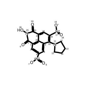 O=C1c2cc([N+](=O)[O-])cc3c(N4CCCC4)c([N+](=O)[O-])cc(c23)C(=O)N1O